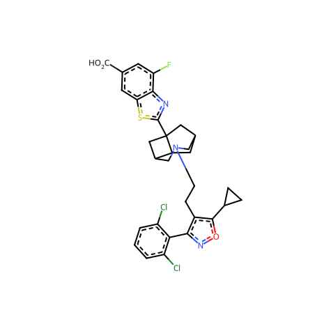 O=C(O)c1cc(F)c2nc(C34CC5CC3C(CN(CCc3c(-c6c(Cl)cccc6Cl)noc3C3CC3)C5)C4)sc2c1